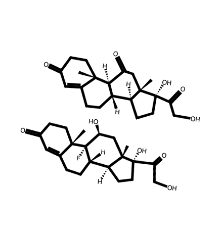 C[C@]12CCC(=O)C=C1CC[C@@H]1[C@@H]2C(=O)C[C@@]2(C)[C@H]1CC[C@]2(O)C(=O)CO.C[C@]12CCC(=O)C=C1CC[C@H]1[C@@H]3CC[C@](O)(C(=O)CO)[C@@]3(C)C[C@H](O)[C@@]12F